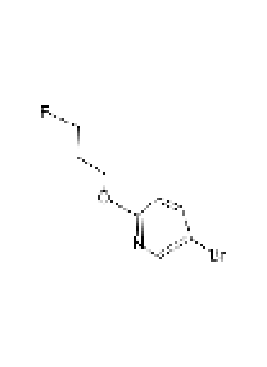 FCCCOc1ccc(Br)cn1